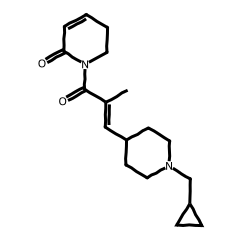 C/C(=C\C1CCN(CC2CC2)CC1)C(=O)N1CCC=CC1=O